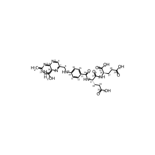 C=C(N)/N=C1/N=CC(CNc2ccc(C(=O)N[C@@H](CCC(=O)O)C(=O)N[C@H](CCC(=O)O)C(=O)O)cc2)=N/C1=C(/N)O